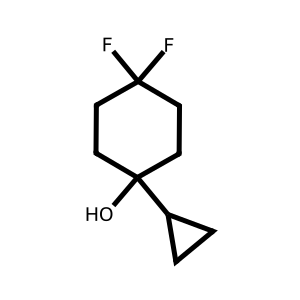 OC1(C2CC2)CCC(F)(F)CC1